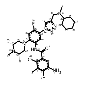 Cc1c(F)c(N)cc(C(=O)Nc2cc(-n3cc(CN(C)C4CCCCC4)nn3)c(F)cc2N2C[C@@H](C)N(C)[C@@H](C)C2)c1Cl